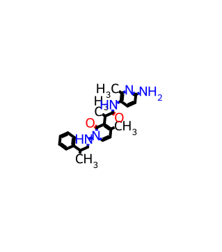 Cc1ccn(NCC(C)c2ccccc2)c(=O)c1C(C)C(=O)Nc1ccc(N)nc1C